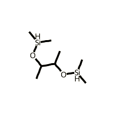 CC(O[SiH](C)C)C(C)O[SiH](C)C